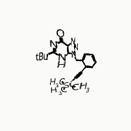 CC(C)(C)c1nc(=O)c2nnn(Cc3ccccc3C#C[Si](C)(C)C)c2[nH]1